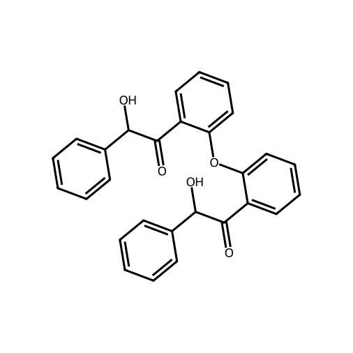 O=C(c1ccccc1Oc1ccccc1C(=O)C(O)c1ccccc1)C(O)c1ccccc1